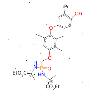 CCOC(=O)[C@H](C)NP(=O)(COc1cc(C)c(Oc2ccc(O)c(C(C)C)c2)c(C)c1C)N[C@@H](C)C(=O)OCC